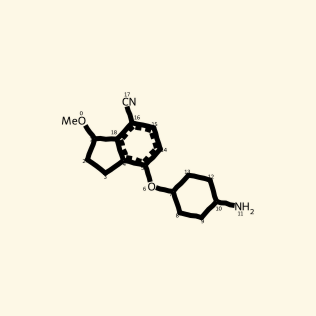 COC1CCc2c(OC3CCC(N)CC3)ccc(C#N)c21